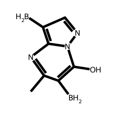 Bc1c(C)nc2c(B)cnn2c1O